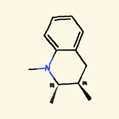 C[C@@H]1Cc2ccccc2N(C)[C@H]1C